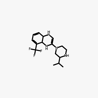 CC(C)C1CN(C2=CNC3C=CC=C(C(F)(F)F)C3N2)CCN1